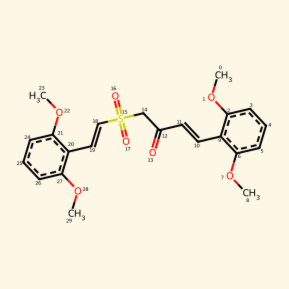 COc1cccc(OC)c1C=CC(=O)CS(=O)(=O)C=Cc1c(OC)cccc1OC